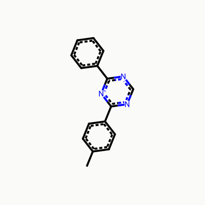 Cc1ccc(-c2ncnc(-c3ccccc3)n2)cc1